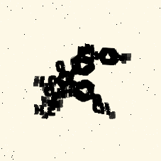 COc1ccc(C2C(NC(=O)C(C)(F)F)C(C)C(=O)N2c2ccc3c(cnn3-c3ccc(F)cc3)c2)cc1